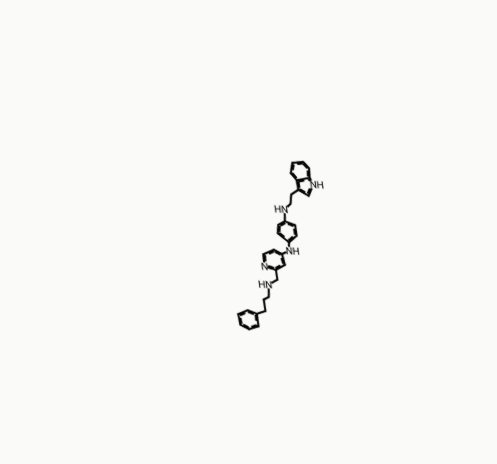 c1ccc(CCCNCc2cc(Nc3ccc(NCCc4c[nH]c5ccccc45)cc3)ccn2)cc1